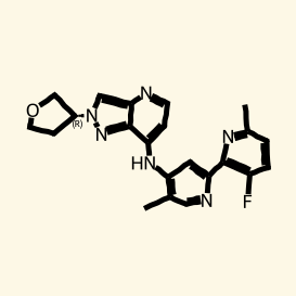 Cc1ccc(F)c(-c2cc(Nc3ccnc4cn([C@@H]5CCOC5)nc34)c(C)cn2)n1